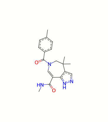 CNC(=O)C1=CN(C(=O)c2ccc(C)cc2)CC(C)(C)c2cn[nH]c21